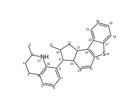 CC1CCc2cccc(C3C(C)CC4c5c(sc6ccccc56)C=CC43)c2N1